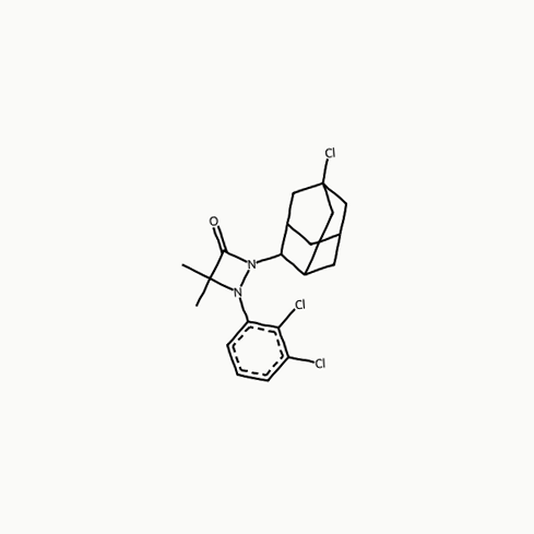 CC1(C)C(=O)N(C2C3CC4CC2CC(Cl)(C4)C3)N1c1cccc(Cl)c1Cl